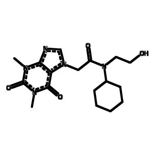 Cn1c(=O)c2c(ncn2CC(=O)N(CCO)C2CCCCC2)n(C)c1=O